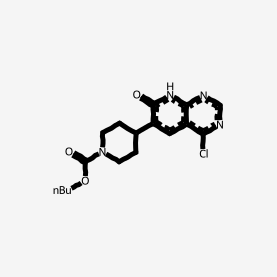 CCCCOC(=O)N1CCC(c2cc3c(Cl)ncnc3[nH]c2=O)CC1